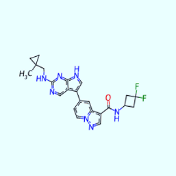 CC1(CNc2ncc3c(-c4ccn5ncc(C(=O)NC6CC(F)(F)C6)c5c4)c[nH]c3n2)CC1